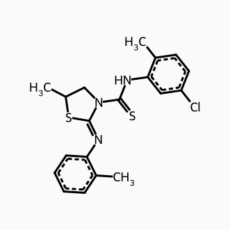 Cc1ccccc1N=C1SC(C)CN1C(=S)Nc1cc(Cl)ccc1C